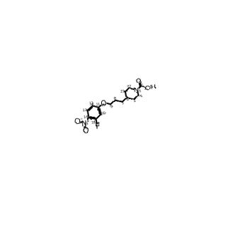 O=C(O)N1CCC(CCCOc2ccc([N+](=O)[O-])c(F)c2)CC1